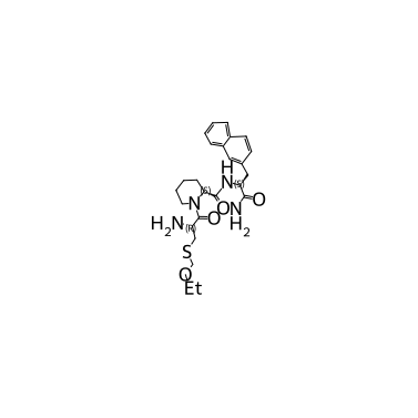 CCOCSC[C@H](N)C(=O)N1CCCC[C@H]1C(=O)N[C@@H](Cc1ccc2ccccc2c1)C(N)=O